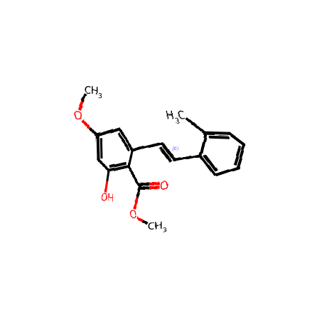 COC(=O)c1c(O)cc(OC)cc1/C=C/c1ccccc1C